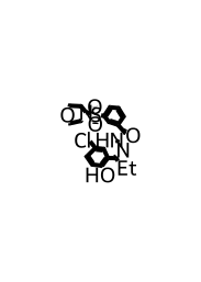 CC/C(=N/NC(=O)c1cccc(S(=O)(=O)N2CCOCC2)c1)c1cc(Cl)ccc1O